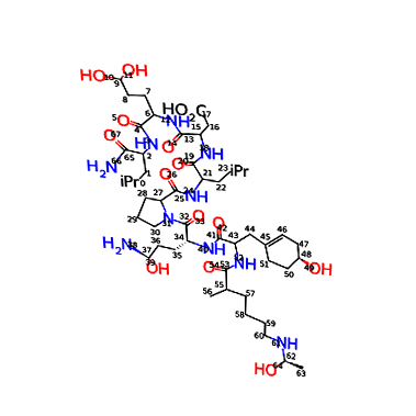 CC(C)CC(NC(=O)C(CCC(O)O)NC(=O)C(CC(=O)O)NC(=O)C(CC(C)C)NC(=O)C1CCCN1C(=O)[C@@H](CC[C@H](N)O)NC(=O)C(CC1=CC[C@@H](O)CC1)NC(=O)C(C)CCCCN[C@@H](C)O)C(N)=O